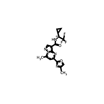 Cc1coc(-c2cc(C)n3ncc(C(=O)N[C@@H](C4CC4)C(F)(F)F)c3n2)n1